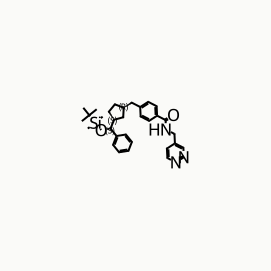 CC(C)(C)[Si](C)(C)O[C@H](c1ccccc1)[C@H]1CC[C@@H](Cc2ccc(C(=O)NCc3ccnnc3)cc2)C1